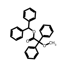 COC(C(=O)OC(c1ccccc1)c1ccccc1)(c1ccccc1)c1ccccc1